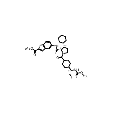 COC(=O)c1cc2cc(NC(=O)[C@H]3[C@H](C4CCCCC4)CCN3C(=O)C3CCC([C@@H](CF)NC(=O)OC(C)(C)C)CC3)ccc2s1